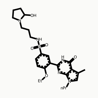 CCCn1cc(C)c2c(=O)[nH]c(-c3cc(S(=O)(=O)NCCCN4CCCC4O)ccc3OCC)nc21